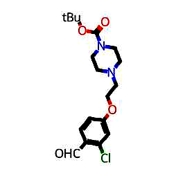 CC(C)(C)OC(=O)N1CCN(CCOc2ccc(C=O)c(Cl)c2)CC1